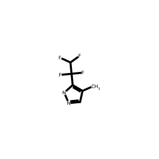 CC1=C(C(F)(F)C(F)F)[N]N=C1